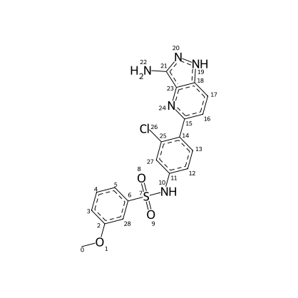 COc1cccc(S(=O)(=O)Nc2ccc(-c3ccc4[nH]nc(N)c4n3)c(Cl)c2)c1